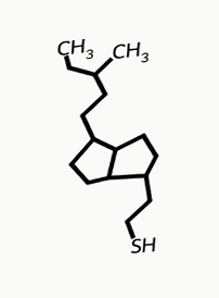 CCC(C)CCC1CCC2C(CCS)CCC12